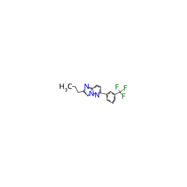 CCCc1cn2nc(-c3cccc(C(F)(F)F)c3)ccc2n1